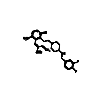 C=C/C(=C\c1c(N)ccc(=O)n1CCN1CCC(NCc2ccc(F)c(F)c2)CC1)OC